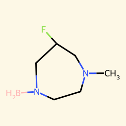 BN1CCN(C)CC(F)C1